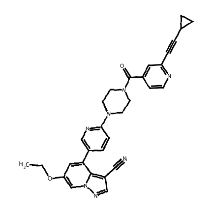 CCOc1cc(-c2ccc(N3CCN(C(=O)c4ccnc(C#CC5CC5)c4)CC3)nc2)c2c(C#N)cnn2c1